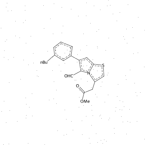 CCCCc1cccc(-c2cc3scc(CC(=O)OC)n3c2C=O)c1